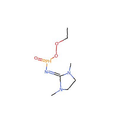 CCOO[PH](=O)N=C1N(C)CCN1C